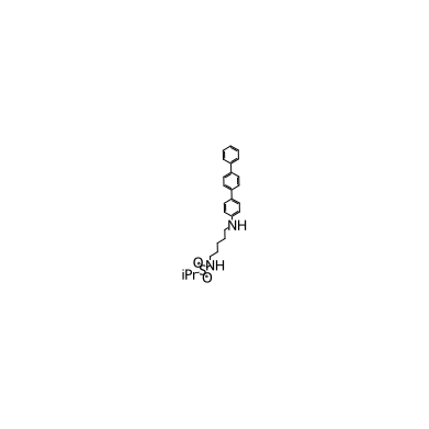 CC(C)S(=O)(=O)NCCCCCNc1ccc(-c2ccc(-c3ccccc3)cc2)cc1